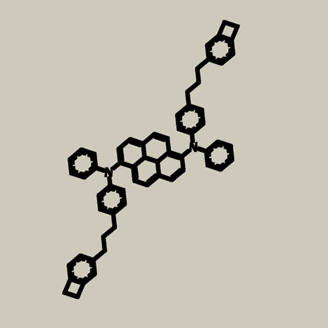 C1=CC2=C(N(c3ccccc3)c3ccc(CCCc4ccc5c(c4)CC5)cc3)C=CC3=CC=C4C(N(c5ccccc5)c5ccc(CCCc6ccc7c(c6)CC7)cc5)=CC=C1C4C32